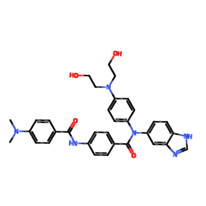 CN(C)c1ccc(C(=O)Nc2ccc(C(=O)N(c3ccc(N(CCO)CCO)cc3)c3ccc4[nH]cnc4c3)cc2)cc1